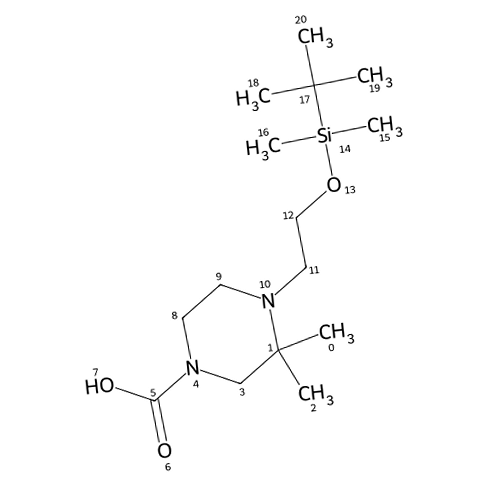 CC1(C)CN(C(=O)O)CCN1CCO[Si](C)(C)C(C)(C)C